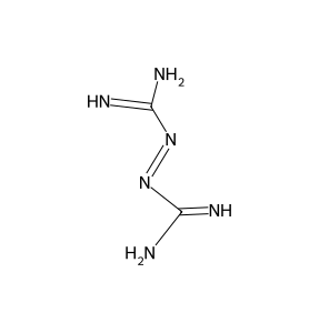 N=C(N)N=NC(=N)N